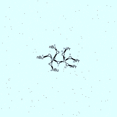 CCCCO[Si](OCCCC)(OCCCC)[O][Zr]([O]C(C)C)([O]C(C)C)[O]C(C)C